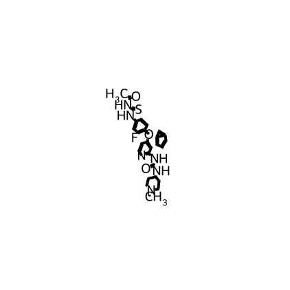 CC(=O)NC(=S)Nc1ccc(Oc2ccnc(NC(=O)NC3CCN(C)CC3)c2)c(F)c1.c1cc2cc-2c1